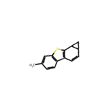 Cc1ccc2c3c(sc2c1)C1CC1C=C3